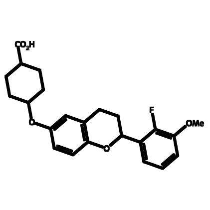 COc1cccc(C2CCc3cc(OC4CCC(C(=O)O)CC4)ccc3O2)c1F